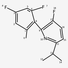 Cc1cc(F)cc(F)c1-c1nc(C(C)C)ccc1F